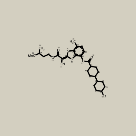 CCC1CCC(C2CCC(C(=O)Oc3ccc(C)c4c3S/C(=C(\C#N)C(=O)OCCC(C)OC)S4)CC2)CC1